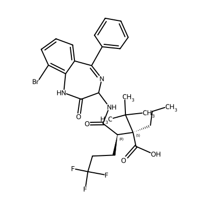 CCC[C@](C(=O)O)([C@@H](CCC(F)(F)F)C(=O)NC1N=C(c2ccccc2)c2cccc(Br)c2NC1=O)C(C)(C)C